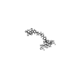 C=CCNC(=O)c1cnc(Nc2ccc(C3CCN(C[C@@H]4CCN(c5ccc6c(c5)C(=O)N(C5CCC(=O)NC5=O)C6=O)C4)CC3)cc2)nc1Nc1cccc(C(C)(C)O)n1